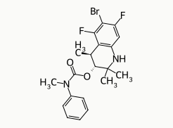 C[C@H]1c2c(cc(F)c(Br)c2F)NC(C)(C)[C@@H]1OC(=O)N(C)c1ccccc1